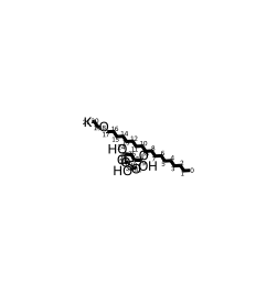 CCCCCCCCCCCCCCCCCCOC[CH2][K].O=C(O)CC(C(=O)O)S(=O)(=O)O